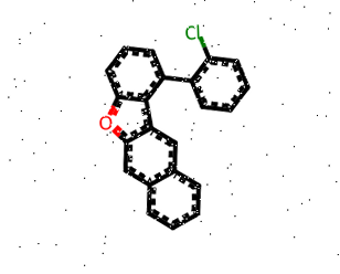 Clc1ccccc1-c1cccc2oc3cc4ccccc4cc3c12